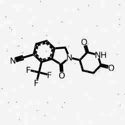 N#Cc1ccc2c(c1C(F)(F)F)C(=O)N(C1CCC(=O)NC1=O)C2